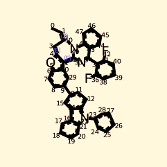 C\C=C/C=c1/oc2ccc(-c3ccc4c(c3)c3ccccc3n4-c3ccccc3)cc2/c1=C1\N=C(c2c(F)cccc2F)c2ccccc2N1C